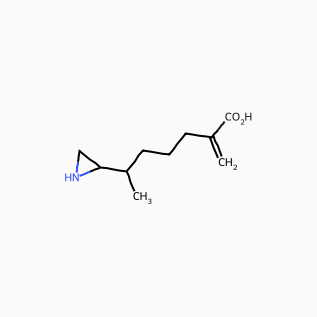 C=C(CCCC(C)C1CN1)C(=O)O